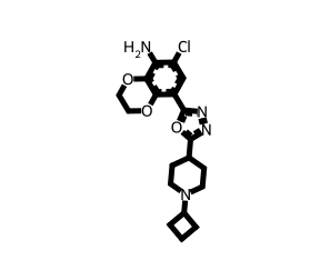 Nc1c(Cl)cc(-c2nnc(C3CCN(C4CCC4)CC3)o2)c2c1OCCO2